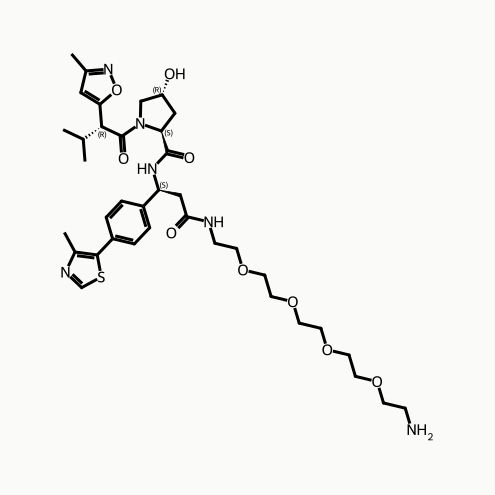 Cc1cc([C@H](C(=O)N2C[C@H](O)C[C@H]2C(=O)N[C@@H](CC(=O)NCCOCCOCCOCCOCCN)c2ccc(-c3scnc3C)cc2)C(C)C)on1